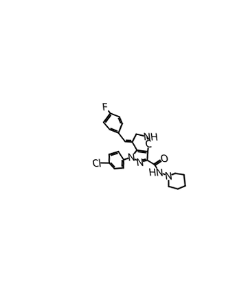 O=C(NN1CCCCC1)c1nn(-c2ccc(Cl)cc2)c2c1CNCC2=Cc1ccc(F)cc1